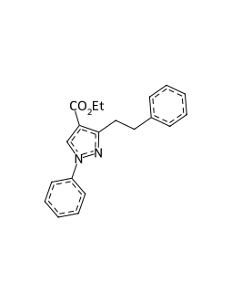 CCOC(=O)c1cn(-c2ccccc2)nc1CCc1ccccc1